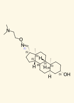 CN(C)CCO/N=C/[C@H]1CC[C@H]2[C@@H]3CC[C@@H]4C[C@@H](O)CC[C@]4(C)[C@H]3CC[C@]12C